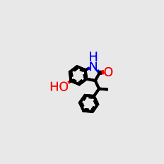 CC(c1ccccc1)C1C(=O)Nc2ccc(O)cc21